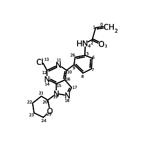 C=CC(=O)Nc1cccc(-c2nc(Cl)nc3c2cnn3C2CCCCO2)c1